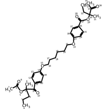 CCCC(C)(OC(C)=O)C(=O)c1ccc(OCCCCCCOc2ccc(C(=O)OC(C)(CC)C(C)=O)cc2)cc1